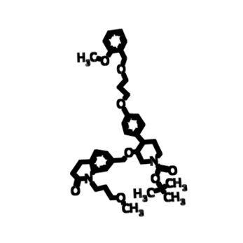 COCCCN1C(=O)CCc2ccc(COC3CN(C(=O)OC(C)(C)C)CCC3c3ccc(OCCCOCc4ccccc4OC)cc3)cc21